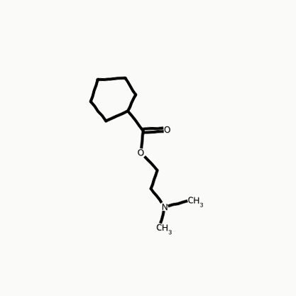 CN(C)CCOC(=O)C1CCCCC1